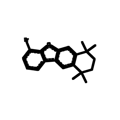 CC1(C)CCC(C)(C)c2cc3c(cc21)oc1c(Br)cccc13